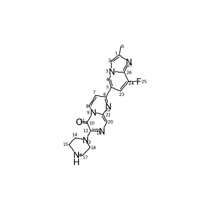 Cc1cn2cc(-c3ccn4c(=O)c(N5CCNCC5)ncc4n3)cc(F)c2n1